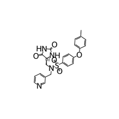 Cc1ccc(Oc2ccc(S(=O)(=O)N(Cc3cccnc3)C[C@@H]3NC(=O)NC3=O)cc2)cc1